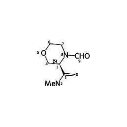 C=C(NC)[C@H]1COCCN1C=O